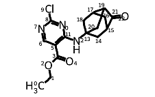 CCOC(=O)c1cnc(Cl)nc1NC12CC3CC(C1)C(C2)C3=O